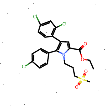 CCOC(=O)c1cc(-c2ccc(Cl)cc2Cl)c(-c2ccc(Cl)cc2)n1CCCS(C)(=O)=O